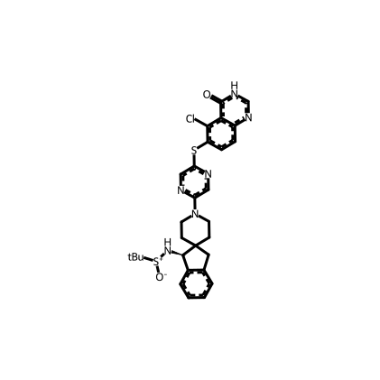 CC(C)(C)[S+]([O-])N[C@@H]1c2ccccc2CC12CCN(c1cnc(Sc3ccc4nc[nH]c(=O)c4c3Cl)cn1)CC2